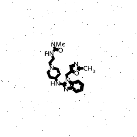 CNC(=O)NCCN1CCC(Nc2nc3ccccc3n2Cc2cnc(C)o2)CC1